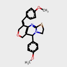 COc1ccc(/C=C2/COCC3=C2N=C2SCCN2C3c2ccc(OC)cc2)cc1